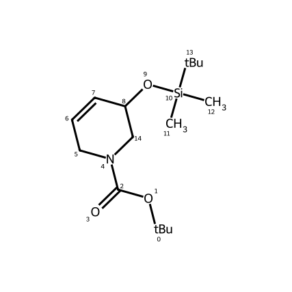 CC(C)(C)OC(=O)N1CC=CC(O[Si](C)(C)C(C)(C)C)C1